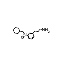 NCCCc1cccc([S+]([O-])CC2CCCCC2)c1